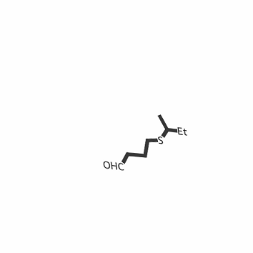 CCC(C)SCCCC=O